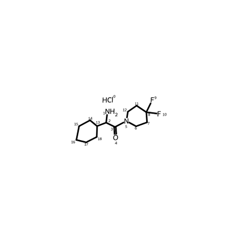 Cl.NC(C(=O)N1CCC(F)(F)CC1)C1CCCCC1